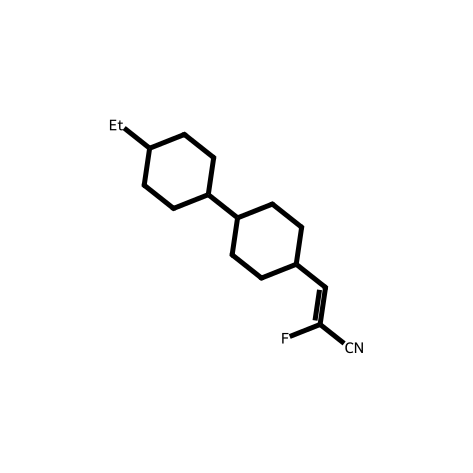 CCC1CCC(C2CCC(C=C(F)C#N)CC2)CC1